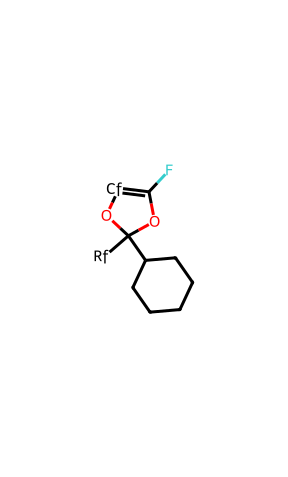 F[C]1=[Cf][O][C]([Rf])(C2CCCCC2)O1